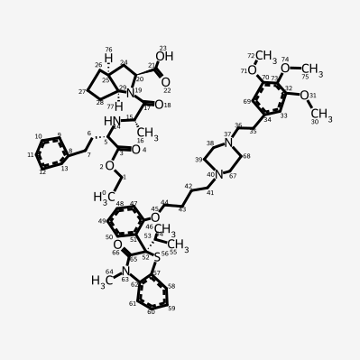 CCOC(=O)[C@H](CCc1ccccc1)N[C@@H](C)C(=O)N1[C@H](C(=O)O)C[C@@H]2CCC[C@@H]21.COc1cc(CCN2CCN(CCCCOc3ccccc3[C@@]3(C(C)C)Sc4ccccc4N(C)C3=O)CC2)cc(OC)c1OC